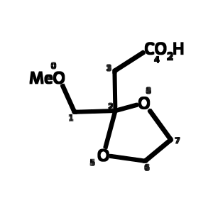 COCC1(CC(=O)O)OCCO1